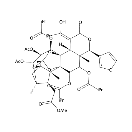 COC(=O)C[C@H]1[C@@]2(C)C[C@@]34O[C@]5(C)O[C@]6([C@@H]7/C(=C(/O)C(C)C)C(=O)O[C@@H](c8ccoc8)[C@]7(C)C(OC(=O)C(C)C)C(OC(=O)C(C)C)[C@]6(O5)[C@]13C)[C@H](OC(=O)C(C)C)[C@@]4(OC(C)=O)[C@H]2OC(C)=O